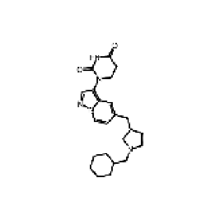 O=C1CCN(c2cnn3ccc(CC4CCN(CC5CCCCC5)C4)cc23)C(=O)N1